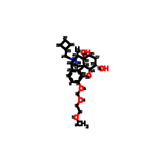 COCCOCOc1ccc2c3c1OC1[C@@H](O)CC[C@@]4(O)[C@@H](C2)N(CC2CCC2)CC[C@]314